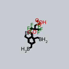 BCc1cc(CB)c(C(=O)OC(CS(=O)(=O)O)(C(F)(F)F)C(F)(F)F)c(CB)c1